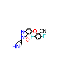 N#Cc1c(F)ccc(F)c1Oc1ccc2ncn(C3C4CNCC43)c(=O)c2c1